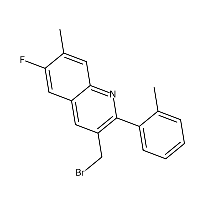 Cc1cc2nc(-c3ccccc3C)c(CBr)cc2cc1F